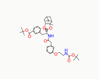 CC(C)(C)OC(=O)NCCOc1cccc(CC(=O)NC(Cc2cccc(C(=O)OC(C)(C)C)c2)B2OC3CC4CC(C4(C)C)C3(C)O2)c1